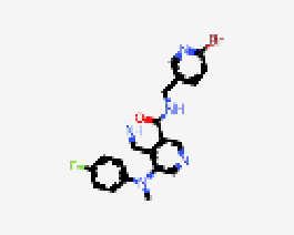 CN(c1ccc(F)cc1)c1cncc(C(=O)NCc2ccc(Br)nc2)c1C=N